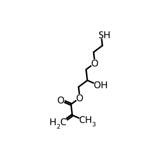 C=C(C)C(=O)OCC(O)COCCS